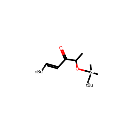 CCCCC=CC(=O)C(C)O[Si](C)(C)C(C)(C)C